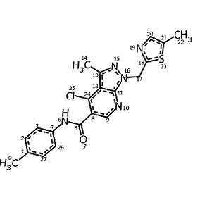 Cc1ccc(NC(=O)c2cnc3c(c(C)nn3Cc3ncc(C)s3)c2Cl)cc1